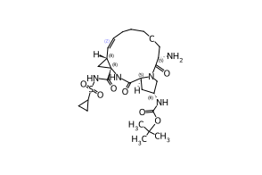 CC(C)(C)OC(=O)N[C@@H]1C[C@H]2C(=O)N[C@]3(C(=O)NS(=O)(=O)C4CC4)C[C@@H]3/C=C\CCCCC[C@H](N)C(=O)N2C1